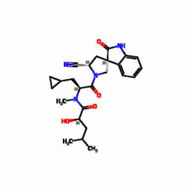 CC(C)C[C@@H](O)C(=O)N(C)[C@@H](CC1CC1)C(=O)N1C[C@]2(C[C@H]1C#N)C(=O)Nc1ccccc12